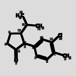 Cc1ccc(N2C(=O)CCC2C(C)C)cc1Cl